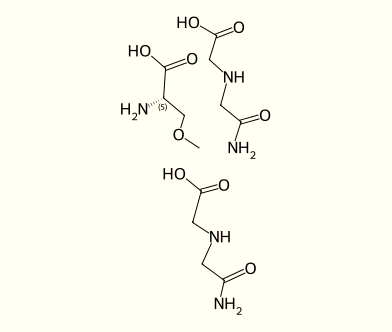 COC[C@H](N)C(=O)O.NC(=O)CNCC(=O)O.NC(=O)CNCC(=O)O